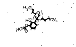 CCCCOC(CC)(OCCCC)c1cccc(OC(=O)O)c1O